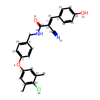 Cc1cc(Oc2ccc(CNC(=O)/C(C#N)=C/c3ccc(O)cc3)cc2)cc(C)c1Cl